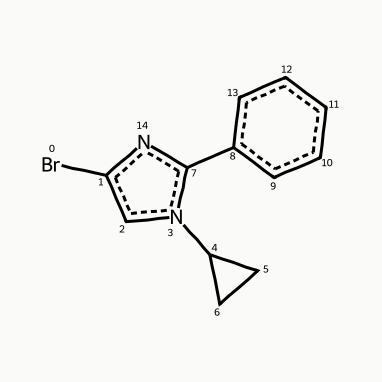 Brc1cn(C2CC2)c(-c2ccccc2)n1